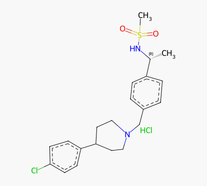 C[C@@H](NS(C)(=O)=O)c1ccc(CN2CCC(c3ccc(Cl)cc3)CC2)cc1.Cl